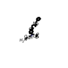 COC(=O)OC/C(=C/CNC(N)=O)c1ccc2oc(Cc3nc(-c4ccccc4)oc3C)cc2c1